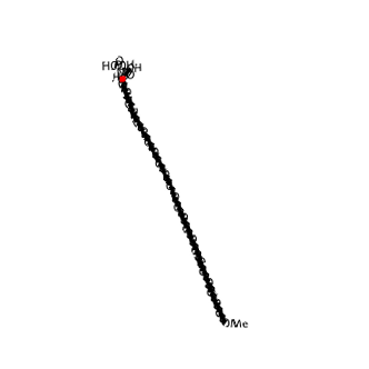 COCCOCCOCCOCCOCCOCCOCCOCCOCCOCCOCCOCCOCCOCCOCCOCCOCCOCCOCCOCCOCCOCCOCCOCCN(CP(=O)(O)O)CP(=O)(O)O